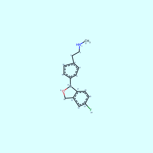 CNCCc1ccc(B2OCc3cc(F)ccc32)cc1